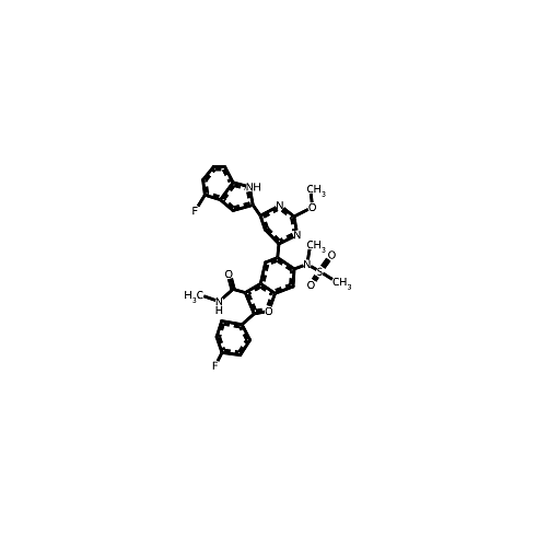 CNC(=O)c1c(-c2ccc(F)cc2)oc2cc(N(C)S(C)(=O)=O)c(-c3cc(-c4cc5c(F)cccc5[nH]4)nc(OC)n3)cc12